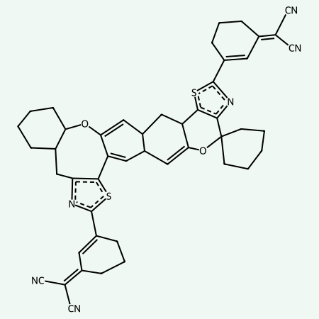 N#CC(C#N)=C1C=C(c2nc3c(s2)C2=CC4C=C5OC6(CCCCC6)c6nc(C7=CC(=C(C#N)C#N)CCC7)sc6C5CC4C=C2OC2CCCCC2C3)CCC1